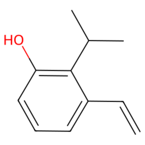 C=Cc1cccc(O)c1C(C)C